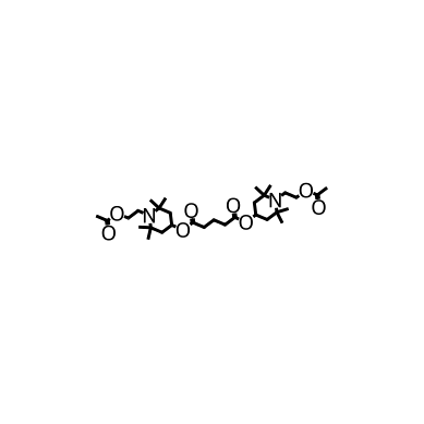 CC(=O)OCCN1C(C)(C)CC(OC(=O)CCCC(=O)OC2CC(C)(C)N(CCOC(C)=O)C(C)(C)C2)CC1(C)C